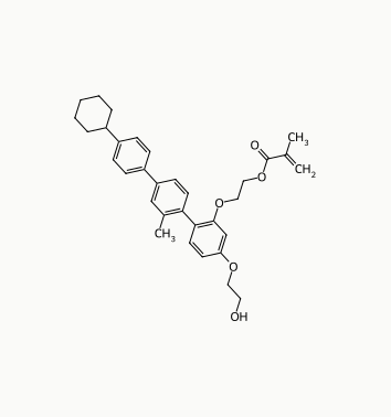 C=C(C)C(=O)OCCOc1cc(OCCO)ccc1-c1ccc(-c2ccc(C3CCCCC3)cc2)cc1C